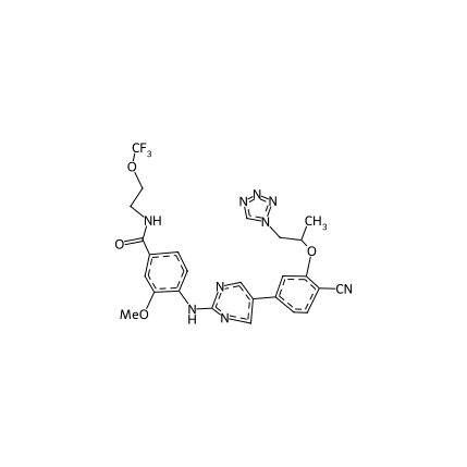 COc1cc(C(=O)NCCOC(F)(F)F)ccc1Nc1ncc(-c2ccc(C#N)c(OC(C)Cn3cnnn3)c2)cn1